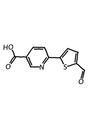 O=Cc1ccc(-c2ccc(C(=O)O)cn2)s1